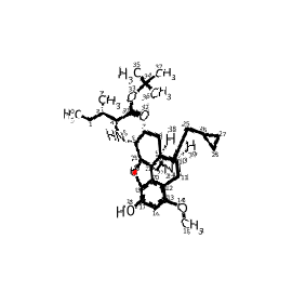 CC[C@H](C)[C@H](N[C@@H]1CC[C@H]2[C@H]3Cc4c(OC)cc(O)c5c4[C@@]2(CCN3CC2CC2)[C@H]1O5)C(=O)OC(C)(C)C